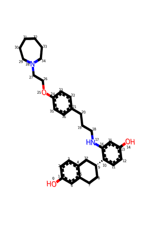 Oc1ccc2c(c1)CC[C@@H](c1ccc(O)cc1NCCCc1ccc(OCCN3CCCCCC3)cc1)C2